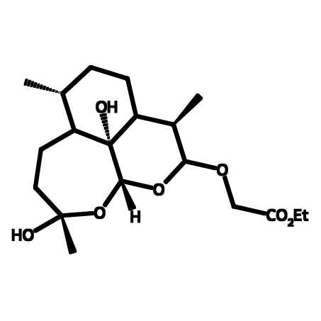 CCOC(=O)COC1O[C@@H]2O[C@](C)(O)CCC3[C@H](C)CCC([C@H]1C)[C@]32O